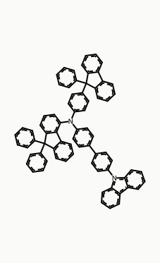 c1ccc(C2(c3ccc(N(c4ccc(-c5ccc(-n6c7ccccc7c7ccccc76)cc5)cc4)c4cccc5c4-c4ccccc4C5(c4ccccc4)c4ccccc4)cc3)c3ccccc3-c3ccccc32)cc1